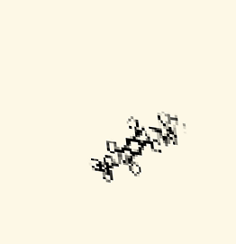 Cn1nnnc1Cn1c(=O)c2cc3c(=O)n(CO[N+](=O)[O-])c(=O)c3cc2c1=O